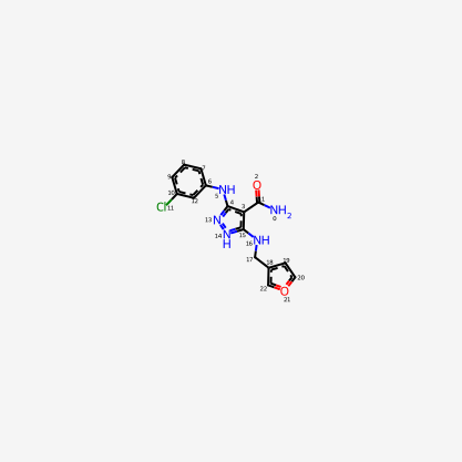 NC(=O)c1c(Nc2cccc(Cl)c2)n[nH]c1NCc1ccoc1